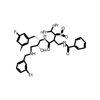 CCCC(CCC)C(C(CNC(=O)c1ccccc1)C(=O)N[C@@H](Cc1cc(F)cc(F)c1)[C@H](O)CNCc1cccc(CC)c1)=S(=O)=O